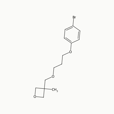 CC1(COCCCOc2ccc(Br)cc2)COC1